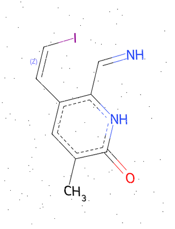 Cc1cc(/C=C\I)c(C=N)[nH]c1=O